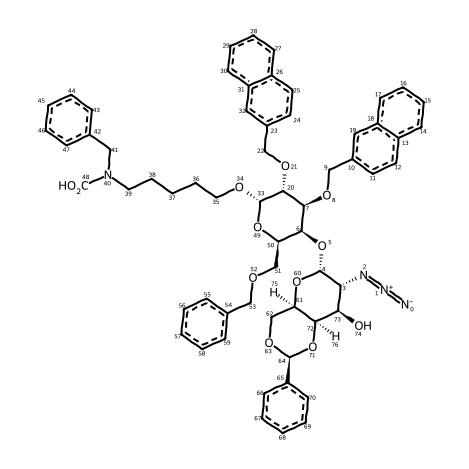 [N-]=[N+]=N[C@H]1[C@@H](O[C@@H]2[C@H](OCc3ccc4ccccc4c3)[C@@H](OCc3ccc4ccccc4c3)[C@@H](OCCCCCN(Cc3ccccc3)C(=O)O)O[C@@H]2COCc2ccccc2)O[C@@H]2CO[C@H](c3ccccc3)O[C@@H]2[C@@H]1O